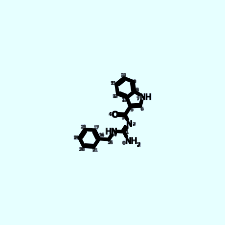 NC(=NC(=O)c1c[nH]c2ccccc12)NCc1ccccc1